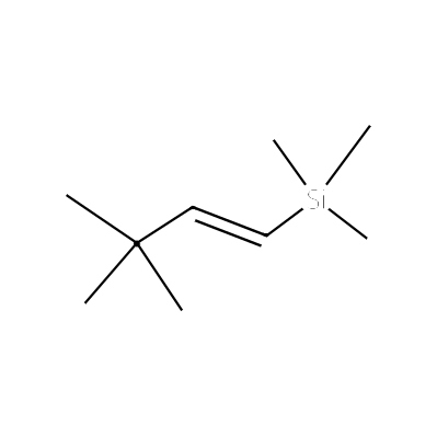 CC(C)(C)/C=C/[Si](C)(C)C